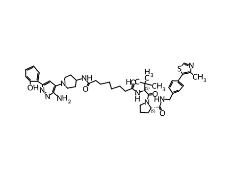 Cc1ncsc1-c1ccc(CNC(=O)[C@@H]2CCCN2C(=O)[C@@H](NC(=O)CCCCCCC(=O)NC2CCN(c3cc(-c4ccccc4O)nnc3N)CC2)C(C)(C)C)cc1